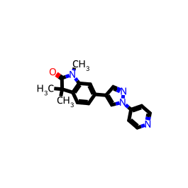 CN1C(=O)C(C)(C)c2ccc(-c3cnn(-c4ccncc4)c3)cc21